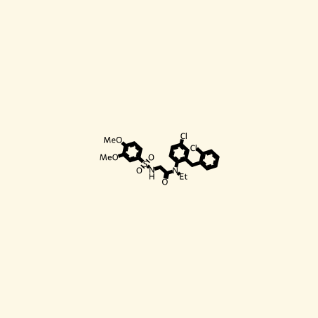 CCN(C(=O)CNS(=O)(=O)c1ccc(OC)c(OC)c1)c1ccc(Cl)cc1Cc1ccccc1Cl